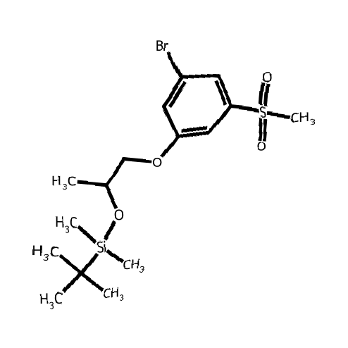 CC(COc1cc(Br)cc(S(C)(=O)=O)c1)O[Si](C)(C)C(C)(C)C